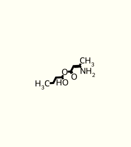 CCCC(O)OC(=O)/C=C(/C)N